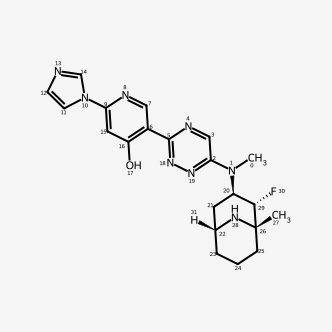 CN(c1cnc(-c2cnc(-n3ccnc3)cc2O)nn1)[C@@H]1C[C@H]2CCC[C@](C)(N2)[C@H]1F